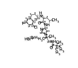 Br.Br.CCCC(N[C@H]1CCc2cc(F)cc(Cl)c2C1)C(=O)Nc1cn(C(C)(C)CNC(=O)C(C)(C)C)cn1